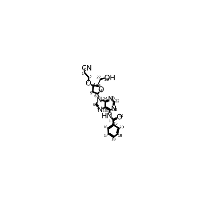 N#CCCOC1C[C@H](n2cnc3c(NC(=O)c4ccccc4)ncnc32)O[C@@H]1CO